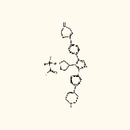 C1=C(c2ccc(-c3nnc(-c4ccc(C5=CCNCC5)cc4)n3C3CCCC3)cc2)CCNC1.O=C(O)C(F)(F)F